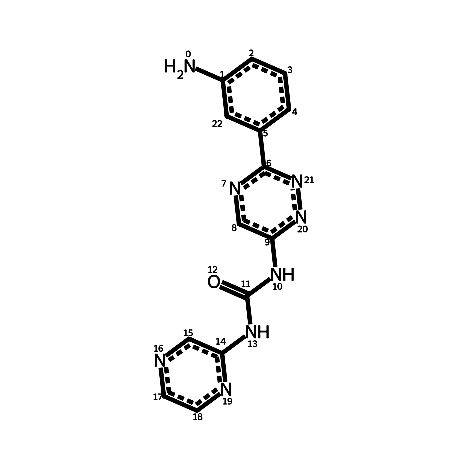 Nc1cccc(-c2ncc(NC(=O)Nc3cnccn3)nn2)c1